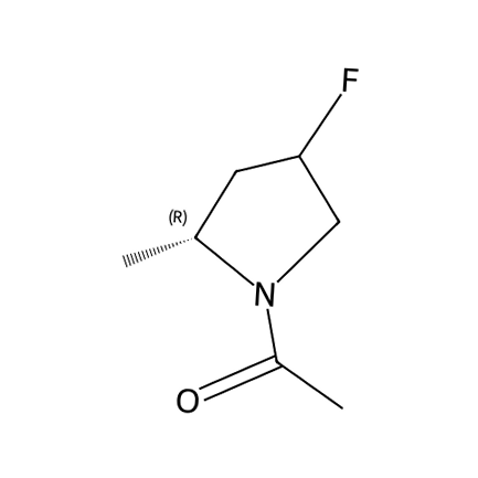 CC(=O)N1CC(F)C[C@H]1C